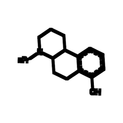 CCCN1CCCC2c3cccc(O)c3CCC21